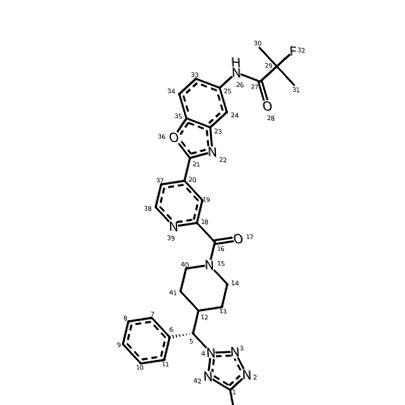 Cc1nnn([C@H](c2ccccc2)C2CCN(C(=O)c3cc(-c4nc5cc(NC(=O)C(C)(C)F)ccc5o4)ccn3)CC2)n1